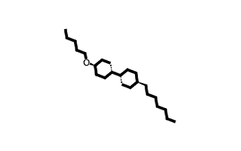 CCCCCCC[C@H]1CC[C@H]([C@H]2CC[C@H](OCCCCC)CC2)CC1